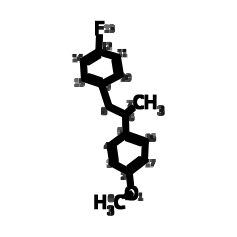 COc1ccc(C(C)Cc2ccc(F)cc2)cc1